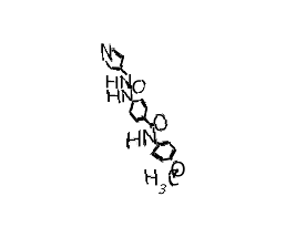 COc1ccc(NC(=O)c2ccc(NC(=O)NCc3ccncc3)cc2)cc1